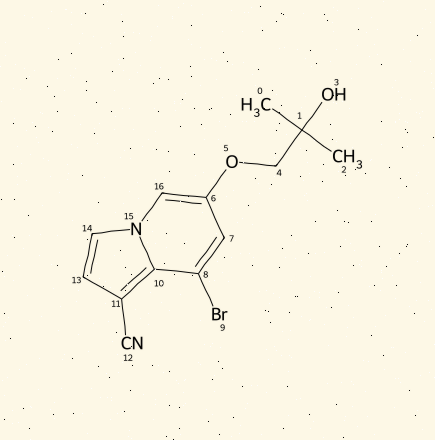 CC(C)(O)COc1cc(Br)c2c(C#N)ccn2c1